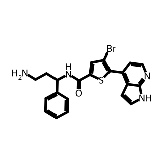 NCCC(NC(=O)c1cc(Br)c(-c2ccnc3[nH]ccc23)s1)c1ccccc1